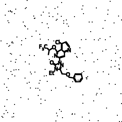 CCn1c(COCc2ccccc2)nn(-c2cc3nccc(Cl)c3c(OC(C)C(F)(F)F)n2)c1=O